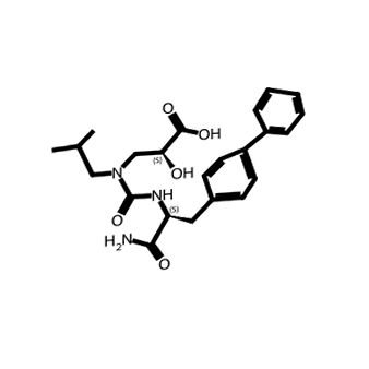 CC(C)CN(C[C@H](O)C(=O)O)C(=O)N[C@@H](Cc1ccc(-c2ccccc2)cc1)C(N)=O